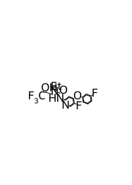 CCN(C[C@@H](O)C(F)(F)F)C(=O)Nc1cc(Oc2cccc(F)c2)c(F)cn1